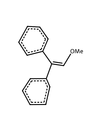 COC=C(c1ccccc1)c1ccccc1